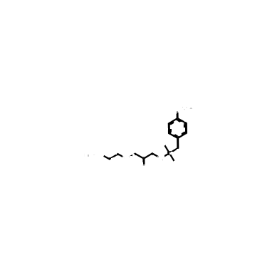 CCCCCCCCCCCCOCC(O)CNC(C)(C)Cc1ccc(OC)cc1